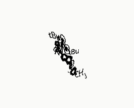 Cc1ccc(SOc2ccc3cc(-c4noc(C5CCCN5C(=NC(=O)OC(C)(C)C)NC(=O)OC(C)(C)C)n4)ccc3c2)cc1